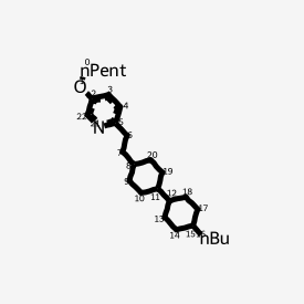 CCCCCOc1ccc(CCC2CCC(C3CCC(CCCC)CC3)CC2)nc1